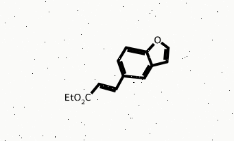 CCOC(=O)/C=C/c1ccc2occc2c1